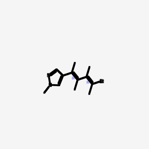 CC/C(C)=C(C)/C(C)=C(\C)c1cnn(C)c1